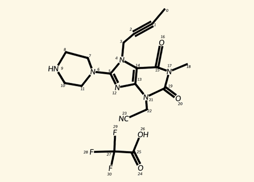 CC#CCn1c(N2CCNCC2)nc2c1c(=O)n(C)c(=O)n2CC#N.O=C(O)C(F)(F)F